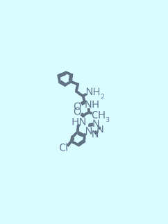 CC(NC(=O)C(N)CCc1ccccc1)C(=O)NCc1cc(Cl)ccc1-n1cnnn1